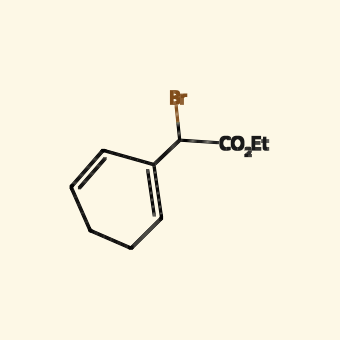 CCOC(=O)C(Br)C1=CCCC=C1